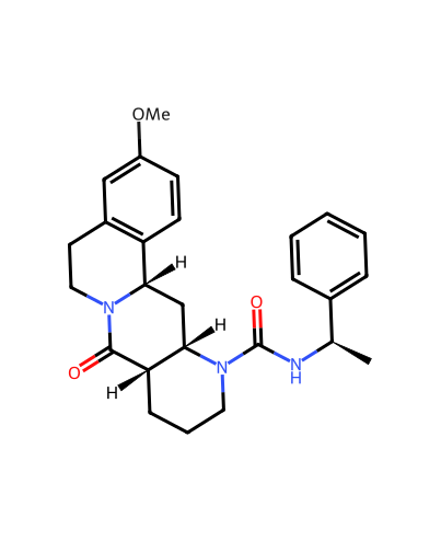 COc1ccc2c(c1)CCN1C(=O)[C@H]3CCCN(C(=O)N[C@H](C)c4ccccc4)[C@H]3C[C@@H]21